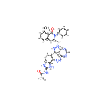 CC(=O)Nc1nc2ccc(-c3nn(Cc4cc5cccc(C)c5c(=O)n4-c4ccccc4)c4ncnc(N)c34)cc2[nH]1